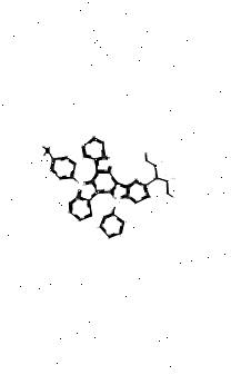 CC[C@@H](C)C(c1ccc2c(c1)c1c3[nH]c4ccccc4c3c3c(c4ccccc4n3-c3ccc(C(F)(F)F)cc3)c1n2-c1ccccc1)[C@@H](C)CC